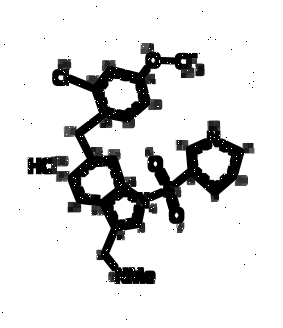 CNCc1cn(S(=O)(=O)c2cccnc2)c2cc(Cc3ccc(OC(F)(F)F)cc3Cl)ccc12.Cl